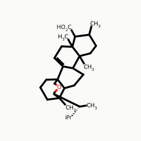 CC1CCC2(C)C3CCC4C5(CCCC4(C)C([C@H](C)C(C)C)OC5)C3=CCC2(C)C1C(=O)O